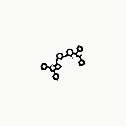 C/C(=C\C(=C1\CCC/C(=C\C2=CC(=C\C3=C4OC(c5ccccc5)=CC(c5ccccc5)=C4CCC3)/CCC2)C1=O)c1ccccc1)c1ccccc1